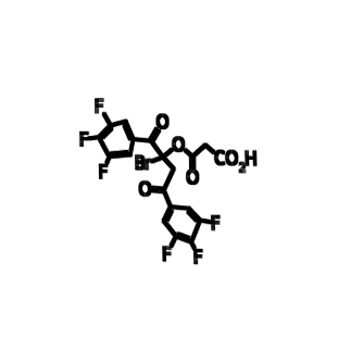 O=C(O)CC(=O)OC(Br)(CC(=O)c1cc(F)c(F)c(F)c1)C(=O)c1cc(F)c(F)c(F)c1